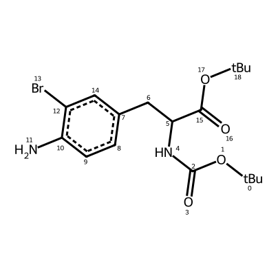 CC(C)(C)OC(=O)NC(Cc1ccc(N)c(Br)c1)C(=O)OC(C)(C)C